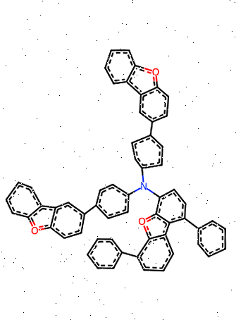 c1ccc(-c2cccc3c2oc2c(N(c4ccc(-c5ccc6oc7ccccc7c6c5)cc4)c4ccc(-c5ccc6oc7ccccc7c6c5)cc4)ccc(-c4ccccc4)c23)cc1